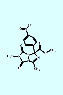 COC(=O)C1(c2ccc([N+](=O)[O-])cc2)N=C(C)n2c(=O)n(C)c(=O)n21